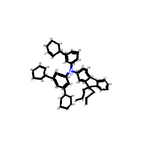 CCCC1(CCC)c2ccccc2-c2ccc(N(c3cccc(C4CCCCC4)c3)c3cc(C4CCCCC4)cc(C4CCCCC4)c3)cc21